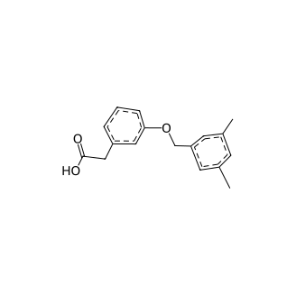 Cc1cc(C)cc(COc2cccc(CC(=O)O)c2)c1